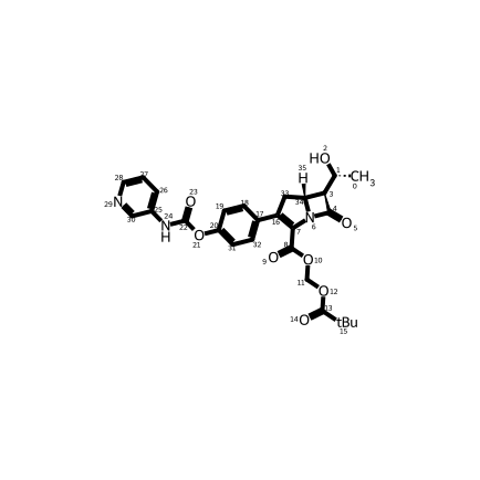 C[C@@H](O)[C@H]1C(=O)N2C(C(=O)OCOC(=O)C(C)(C)C)=C(c3ccc(OC(=O)Nc4cccnc4)cc3)C[C@H]12